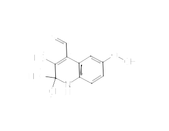 COc1ccc2c(c1)C(C=S)=C(S)C(C)(C)N2